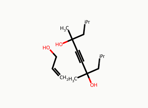 C=CCO.CC(C)CC(C)(O)C#CC(C)(O)CC(C)C